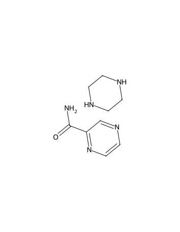 C1CNCCN1.NC(=O)c1cnccn1